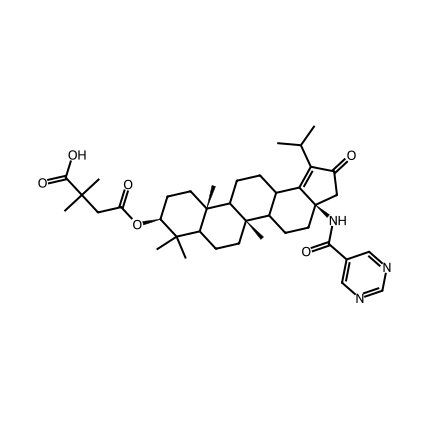 CC(C)C1=C2C3CCC4[C@@](C)(CCC5C(C)(C)[C@@H](OC(=O)CC(C)(C)C(=O)O)CC[C@@]54C)C3CC[C@@]2(NC(=O)c2cncnc2)CC1=O